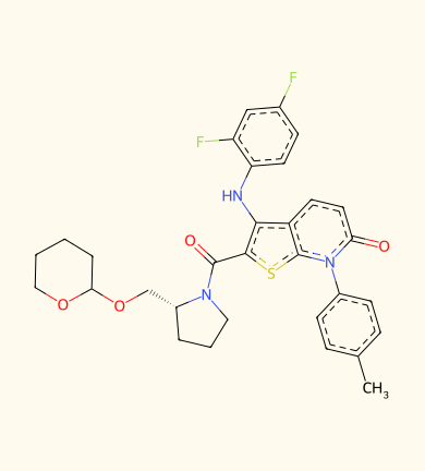 Cc1ccc(-n2c(=O)ccc3c(Nc4ccc(F)cc4F)c(C(=O)N4CCC[C@@H]4COC4CCCCO4)sc32)cc1